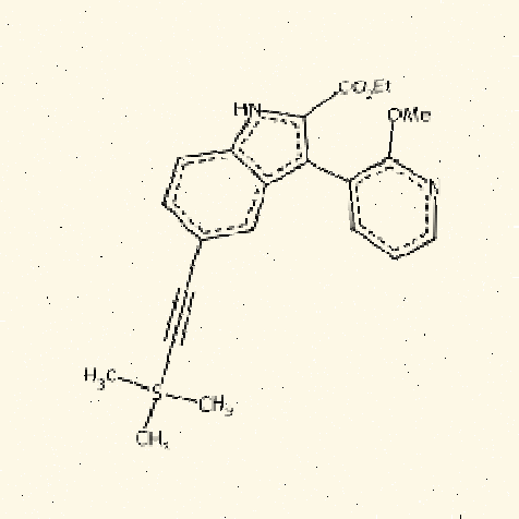 CCOC(=O)c1[nH]c2ccc(C#C[Si](C)(C)C)cc2c1-c1cccnc1OC